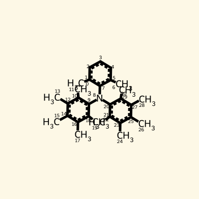 Cc1cccc(C)c1N(c1c(C)c(C)c(C)c(C)c1C)c1c(C)c(C)c(C)c(C)c1C